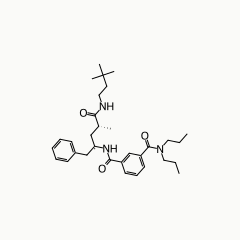 CCCN(CCC)C(=O)c1cccc(C(=O)N[C](Cc2ccccc2)C[C@@H](C)C(=O)NCCC(C)(C)C)c1